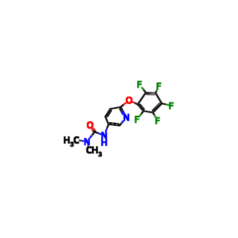 CN(C)C(=O)Nc1ccc(Oc2c(F)c(F)c(F)c(F)c2F)nc1